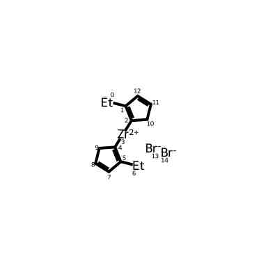 CCC1=[C]([Zr+2][C]2=C(CC)C=CC2)CC=C1.[Br-].[Br-]